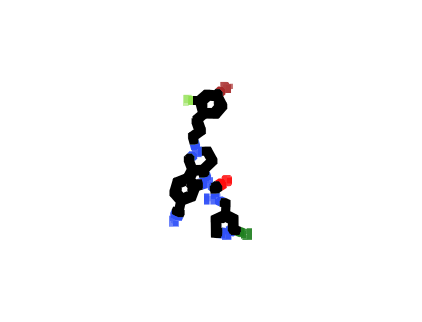 N#Cc1ccc2c3c(n(C(=O)NCc4ccnc(Cl)c4)c2c1)CCN(CC=Cc1ccc(Br)cc1F)C3